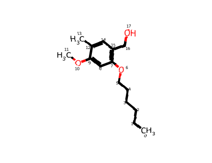 CCCCCCOc1cc(OC)c(C)cc1CO